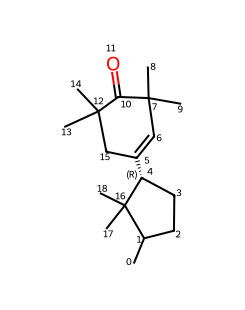 CC1CC[C@@H](C2=CC(C)(C)C(=O)C(C)(C)C2)C1(C)C